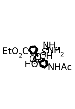 CCOC(=O)c1cccc(O[As](=O)(O)c2ccc(NC(C)=O)cc2O)c1.NC(N)=S